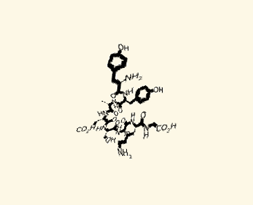 CC(C)[C@H](NC(=O)[C@H](CO)NC(=O)[C@H](CC(=O)O)NC(=O)[C@H](C)NC(=O)[C@H](Cc1ccc(O)cc1)NC(=O)[C@@H](N)Cc1ccc(O)cc1)C(=O)N[C@@H](CCCCN)C(=O)NCC(=O)O